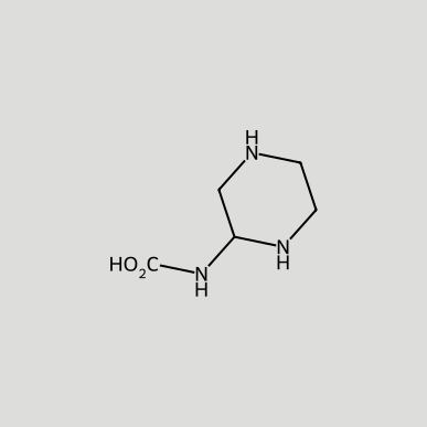 O=C(O)NC1CNCCN1